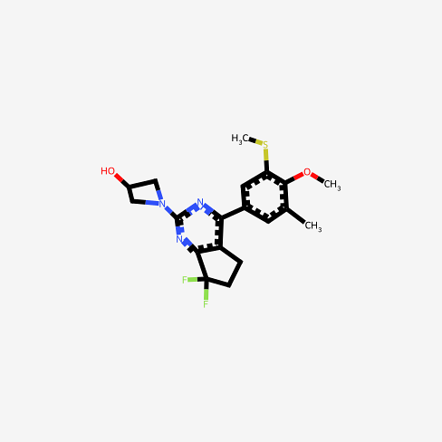 COc1c(C)cc(-c2nc(N3CC(O)C3)nc3c2CCC3(F)F)cc1SC